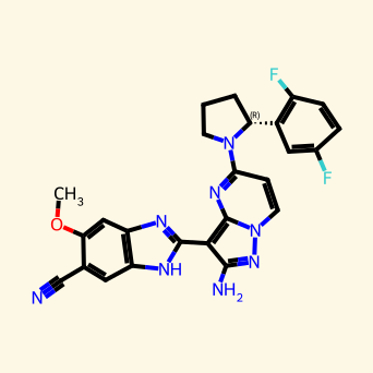 COc1cc2nc(-c3c(N)nn4ccc(N5CCC[C@@H]5c5cc(F)ccc5F)nc34)[nH]c2cc1C#N